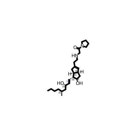 CCCC[C@H](C)C[C@H](O)/C=C/[C@@H]1[C@H]2CC(CCNCC(=O)N3CCCC3)=C[C@H]2C[C@H]1O